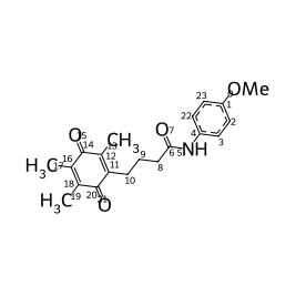 COc1ccc(NC(=O)CCCC2=C(C)C(=O)C(C)=C(C)C2=O)cc1